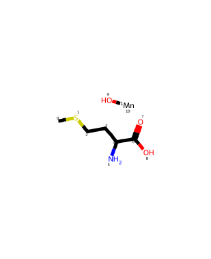 CSCCC(N)C(=O)O.[OH][1Mn]